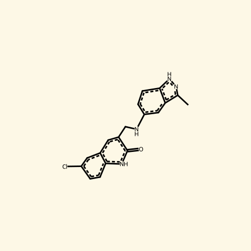 Cc1n[nH]c2ccc(NCc3cc4cc(Cl)ccc4[nH]c3=O)cc12